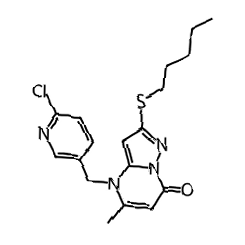 CCCCCSc1cc2n(Cc3ccc(Cl)nc3)c(C)cc(=O)n2n1